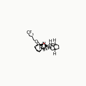 Cc1nsc(N2C[C@H]3CC[C@@H](C2)[C@@H]3Nc2nc3c(OCCCC(F)(F)F)cccn3n2)n1